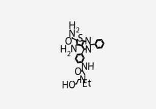 CCN(CCO)CC(=O)Nc1cccc(-c2nc(-c3ccccc3)nc3sc(C(N)=O)c(N)c23)c1